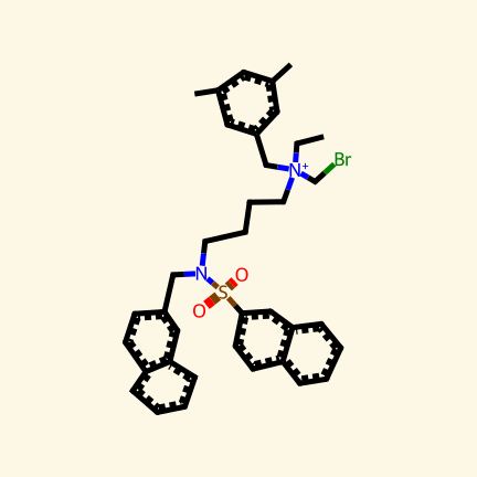 CC[N+](CBr)(CCCCN(Cc1ccc2ccccc2c1)S(=O)(=O)c1ccc2ccccc2c1)Cc1cc(C)cc(C)c1